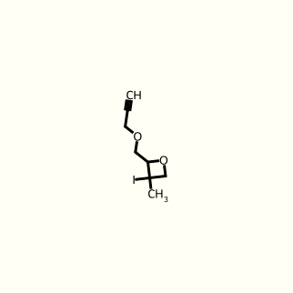 C#CCOCC1OCC1(C)I